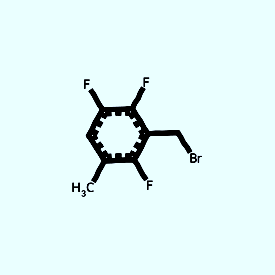 Cc1cc(F)c(F)c(CBr)c1F